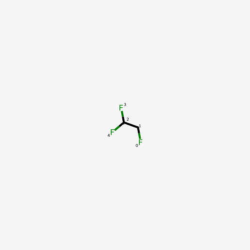 FC[C](F)F